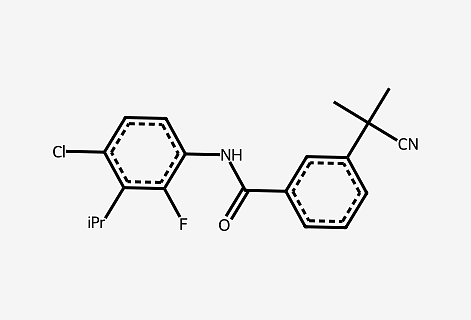 CC(C)c1c(Cl)ccc(NC(=O)c2cccc(C(C)(C)C#N)c2)c1F